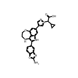 Nc1nc2cc(-c3[nH]c4cc(-c5cnn(C(C(=O)O)C6CC6)c5)cc5c4c3NCCO5)ccc2o1